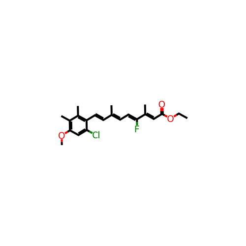 CCOC(=O)/C=C(C)/C(F)=C/C=C(C)/C=C/c1c(Cl)cc(OC)c(C)c1C